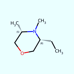 CC[C@@H]1COC[C@H](C)N1C